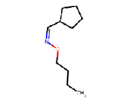 CCCCO/N=[C]\C1CCCC1